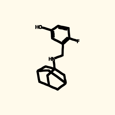 Oc1ccc(F)c(CNC23CC4CC(CC(C4)C2)C3)c1